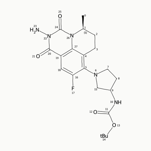 C[C@H]1CCc2c(N3CCC(NC(=O)OC(C)(C)C)C3)c(F)cc3c(=O)n(N)c(=O)n1c23